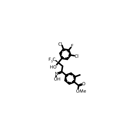 COC(=O)c1ccc(/C(C[C@](O)(c2cc(Cl)c(F)c(Cl)c2)C(F)(F)F)=N\O)cc1C